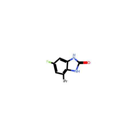 CC(C)c1cc(F)cc2[nH]c(=O)[nH]c12